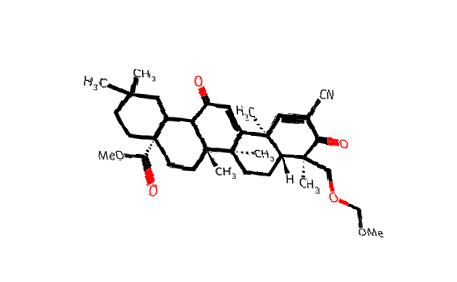 COCOC[C@]1(C)C(=O)C(C#N)=C[C@]2(C)C3=CC(=O)C4C5CC(C)(C)CC[C@]5(C(=O)OC)CC[C@@]4(C)[C@]3(C)CC[C@H]21